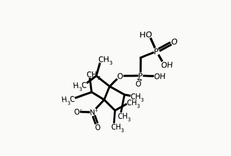 CC(C)C(OP(=O)(O)CP(=O)(O)O)(C(C)C)C(C(C)C)(C(C)C)[N+](=O)[O-]